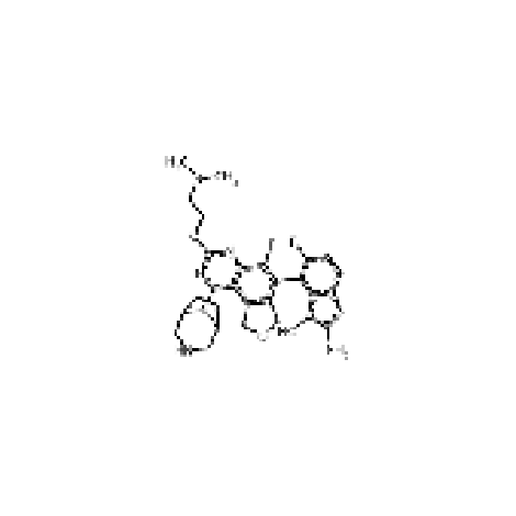 CN(C)CCOc1nc(N2C3CCC2CNC3)c2c3c(c(-c4c(F)ccc5sc(N)c(C#N)c45)c(F)c2n1)COC3